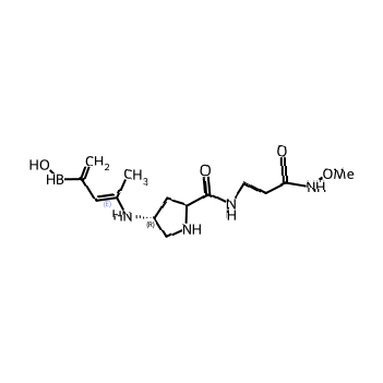 C=C(BO)/C=C(\C)N[C@H]1CNC(C(=O)NCCC(=O)NOC)C1